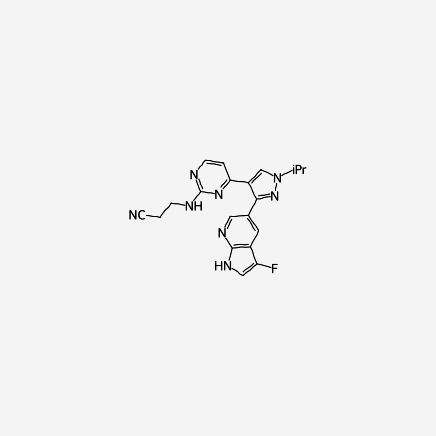 CC(C)n1cc(-c2ccnc(NCCC#N)n2)c(-c2cnc3[nH]cc(F)c3c2)n1